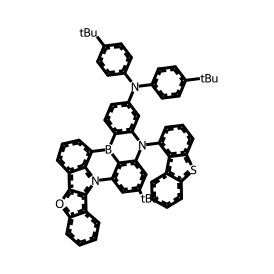 CC(C)(C)c1ccc(N(c2ccc(C(C)(C)C)cc2)c2ccc3c(c2)N(c2cccc4sc5ccccc5c24)c2cc(C(C)(C)C)cc4c2B3c2cccc3c5oc6ccccc6c5n-4c23)cc1